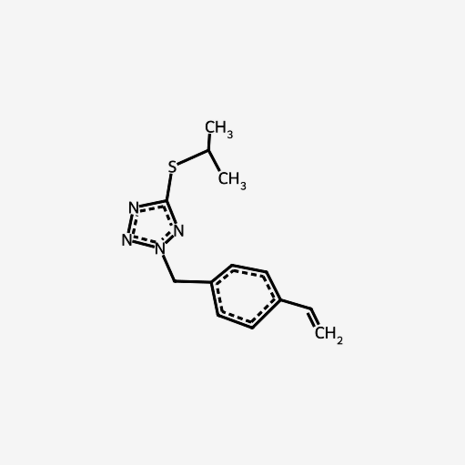 C=Cc1ccc(Cn2nnc(SC(C)C)n2)cc1